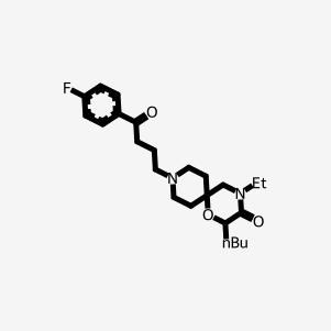 CCCCC1OC2(CCN(CCCC(=O)c3ccc(F)cc3)CC2)CN(CC)C1=O